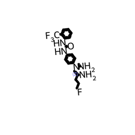 N/C(=C\N(N)c1ccc(NC(=O)Nc2ccccc2C(F)(F)F)cc1)CCCF